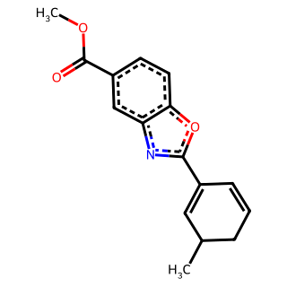 COC(=O)c1ccc2oc(C3=CC(C)CC=C3)nc2c1